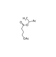 CC(=O)OCCCC(=O)OC(C)C(C)=O